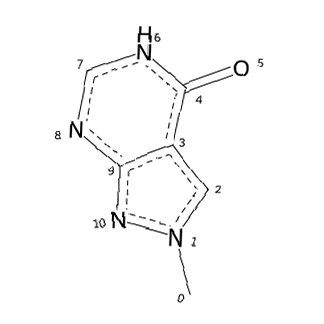 Cn1cc2c(=O)[nH]cnc2n1